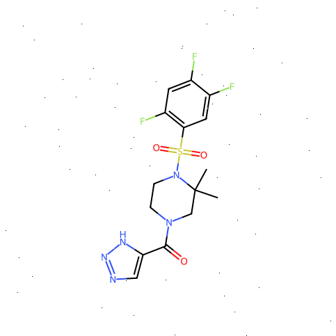 CC1(C)CN(C(=O)c2cnn[nH]2)CCN1S(=O)(=O)c1cc(F)c(F)cc1F